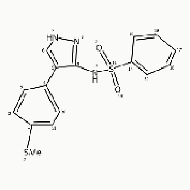 CSc1ccc(-c2c[nH]nc2NS(=O)(=O)c2ccccc2)cc1